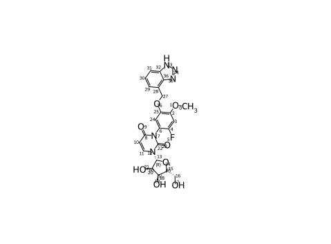 COc1cc(F)c(-n2c(=O)ccn([C@@H]3O[C@H](CO)[C@@H](O)[C@H]3O)c2=O)cc1OCc1cccc2[nH]nnc12